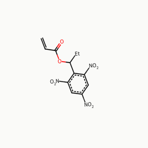 C=CC(=O)OC(CC)c1c([N+](=O)[O-])cc([N+](=O)[O-])cc1[N+](=O)[O-]